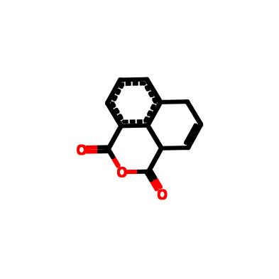 O=C1OC(=O)C2C=CCc3cccc1c32